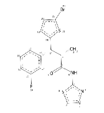 C[C@H](C(=O)Nc1nncs1)[C@H](c1cccc(F)c1)c1ccc(Br)s1